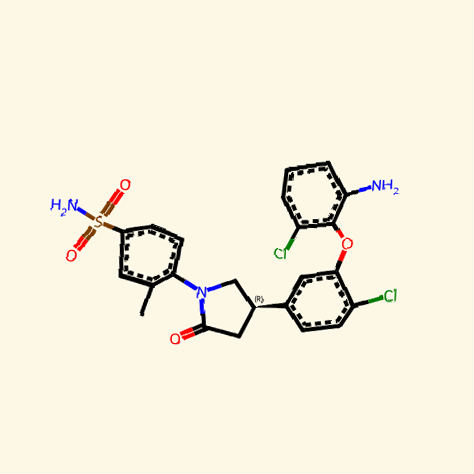 Cc1cc(S(N)(=O)=O)ccc1N1C[C@@H](c2ccc(Cl)c(Oc3c(N)cccc3Cl)c2)CC1=O